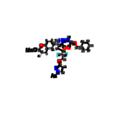 COC(=O)[C@@H](C)Cc1cccc(C(C)(CCC(F)(F)COc2ccn(C(C)=O)n2)C(=O)NN(C)C(=O)OCc2ccccc2)c1